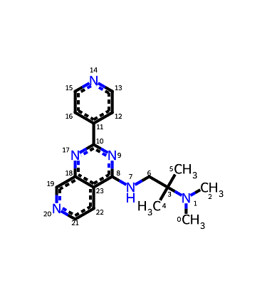 CN(C)C(C)(C)CNc1nc(-c2ccncc2)nc2cnccc12